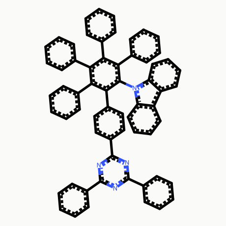 c1ccc(-c2nc(-c3ccccc3)nc(-c3ccc(-c4c(-c5ccccc5)c(-c5ccccc5)c(-c5ccccc5)c(-c5ccccc5)c4-n4c5ccccc5c5ccccc54)cc3)n2)cc1